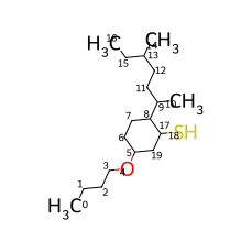 CCCCOC1CCC(C(C)CCC(C)CC)C(S)C1